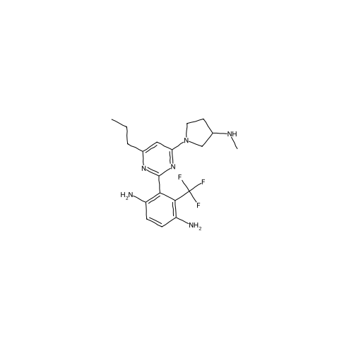 CCCc1cc(N2CCC(NC)C2)nc(-c2c(N)ccc(N)c2C(F)(F)F)n1